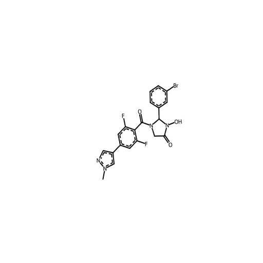 Cn1cc(-c2cc(F)c(C(=O)N3CC(=O)N(O)C3c3cccc(Br)c3)c(F)c2)cn1